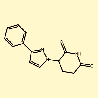 O=C1CCC(n2ccc(-c3ccccc3)n2)C(=O)N1